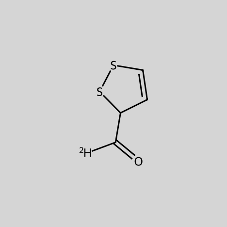 [2H]C(=O)C1C=CSS1